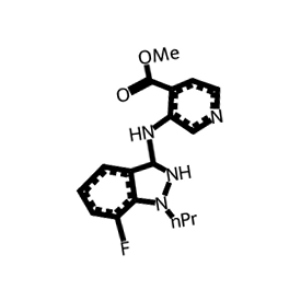 CCCN1NC(Nc2cnccc2C(=O)OC)c2cccc(F)c21